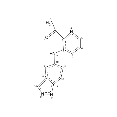 NC(=O)c1nccnc1Nc1ccc2nncn2c1